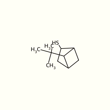 CC(C)(C)C1C2CC(S)C1C2